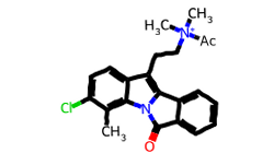 CC(=O)[N+](C)(C)CCc1c2n(c3c(C)c(Cl)ccc13)C(=O)c1ccccc1-2